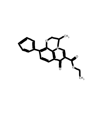 CCOC(=O)c1cn2c3c(c(-c4ccccc4)ccc3c1=O)OCC2C